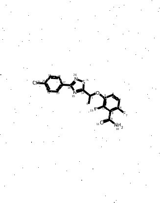 CC(Oc1ccc(F)c(C(N)=O)c1F)c1nc(-c2ccc(Cl)cc2)ns1